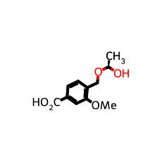 COc1cc(C(=O)O)ccc1CO[C@@H](C)O